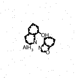 Oc1cccc2cccnc12.[AlH3].c1ccc2ocnc2c1